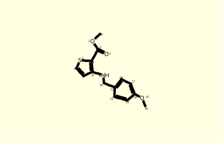 COC(=O)c1sccc1NCc1ccc(OC)cc1